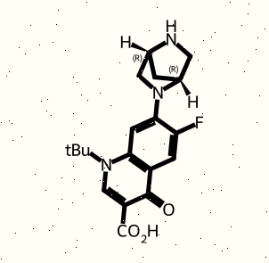 CC(C)(C)n1cc(C(=O)O)c(=O)c2cc(F)c(N3C[C@H]4C[C@@H]3CN4)cc21